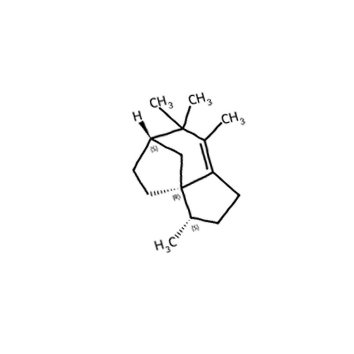 CC1=C2CC[C@H](C)[C@]23CC[C@@H](C3)C1(C)C